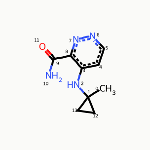 CC1(Nc2ccnnc2C(N)=O)CC1